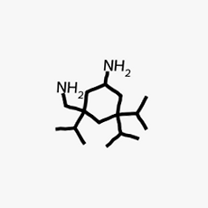 CC(C)C1(CN)CC(N)CC(C(C)C)(C(C)C)C1